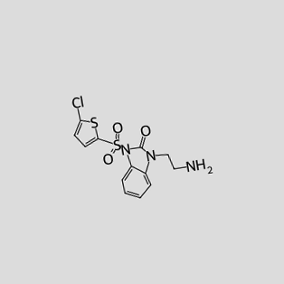 NCCn1c(=O)n(S(=O)(=O)c2ccc(Cl)s2)c2ccccc21